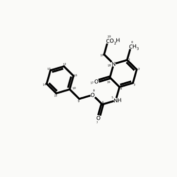 Cc1ccc(NC(=O)OCc2ccccc2)c(=O)n1CC(=O)O